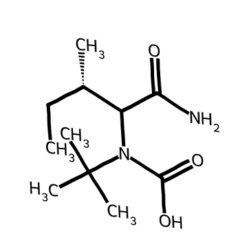 CC[C@H](C)C(C(N)=O)N(C(=O)O)C(C)(C)C